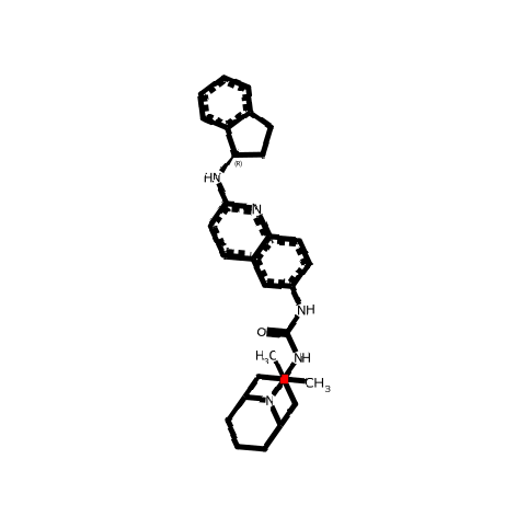 CC(C)N1C2CCCC1CC(NC(=O)Nc1ccc3nc(N[C@@H]4CCc5ccccc54)ccc3c1)C2